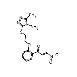 Cc1nnc(SCCOc2ccccc2C(=O)C=C[N+](=O)[O-])n1N